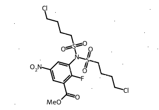 COC(=O)c1cc([N+](=O)[O-])cc(N(S(=O)(=O)CCCCCl)S(=O)(=O)CCCCCl)c1F